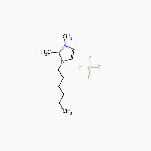 CCCCCCN1C=CN(C)C1C.F[B-](F)(F)F